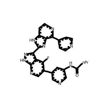 CCCC(=O)Nc1cncc(-c2cnc3[nH]nc(-c4nc5c(-c6ccncc6)nccc5[nH]4)c3c2F)c1